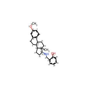 COc1ccc2c(c1)CCC1C2CC[C@@]2(C)C1CC[C@@H]2NCc1ccccc1O